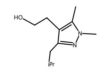 Cc1c(CCO)c(CC(C)C)nn1C